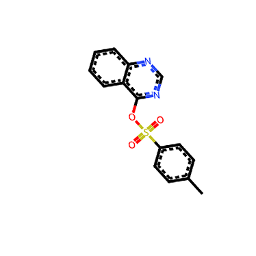 Cc1ccc(S(=O)(=O)Oc2ncnc3ccccc23)cc1